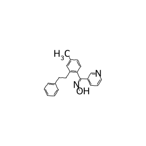 Cc1ccc(C(=NO)c2cccnc2)c(CCc2ccccc2)c1